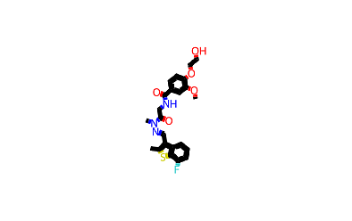 COc1cc(C(=O)NCC(=O)N(C)/N=C/c2c(C)sc3c(F)cccc23)ccc1OCCO